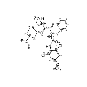 O=C(Nc1cc2ccccc2cc1C(=O)NC(C(=O)O)[C@H]1CC[C@H](C(F)F)CC1)Nc1c(Cl)cc(OC(F)(F)F)cc1Cl